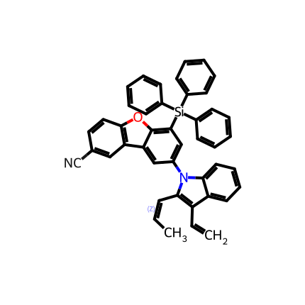 C=Cc1c(/C=C\C)n(-c2cc([Si](c3ccccc3)(c3ccccc3)c3ccccc3)c3oc4ccc(C#N)cc4c3c2)c2ccccc12